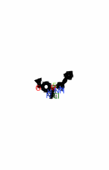 O=C(Nc1ncc(C#Cc2ccccc2)cc1F)c1c(Cl)cnn1C1CCCCC(C(=O)C2CC2)CC1